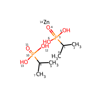 CC(C)P(=O)(O)O.CC(C)P(=O)(O)O.[Zn]